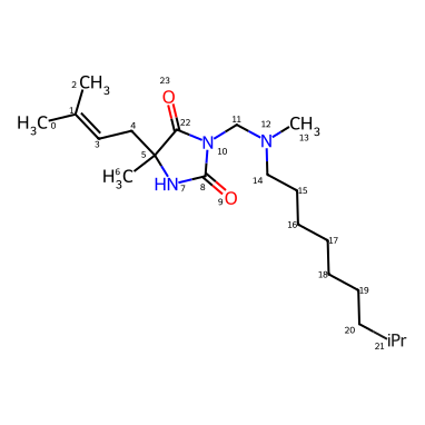 CC(C)=CCC1(C)NC(=O)N(CN(C)CCCCCCCC(C)C)C1=O